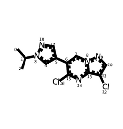 CC(C)n1cc(-c2cn3ncc(Cl)c3nc2Cl)cn1